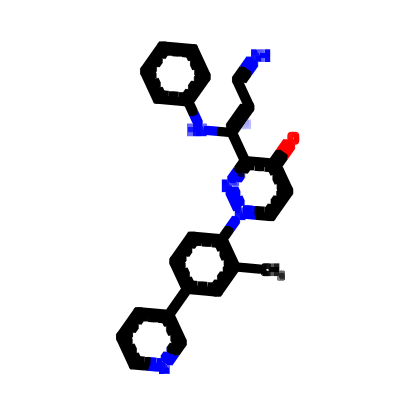 Cc1cc(-c2cccnc2)ccc1-n1ccc(=O)c(/C(=C/C=N)Nc2ccccc2)n1